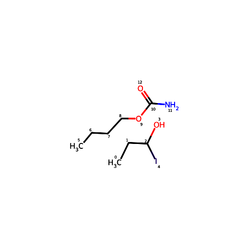 CCC(O)I.CCCCOC(N)=O